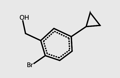 OCc1cc(C2[CH]C2)ccc1Br